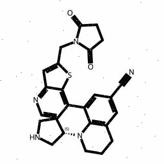 N#Cc1cc2c(c(-c3ccnc4cc(CN5C(=O)CCC5=O)sc34)c1)N([C@H]1CCNC1)CCC2